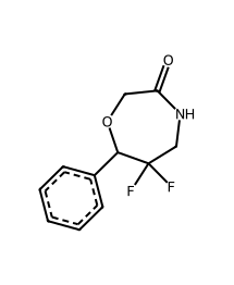 O=C1COC(c2ccccc2)C(F)(F)CN1